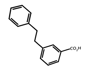 O=C(O)c1cccc(CCc2ccccc2)c1